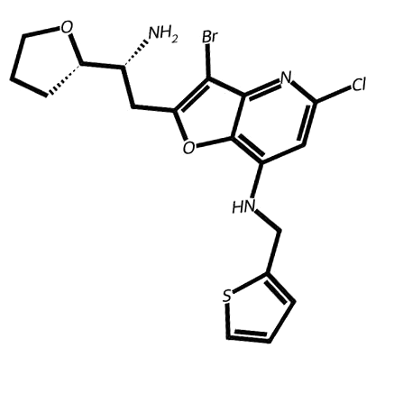 N[C@H](Cc1oc2c(NCc3cccs3)cc(Cl)nc2c1Br)[C@@H]1CCCO1